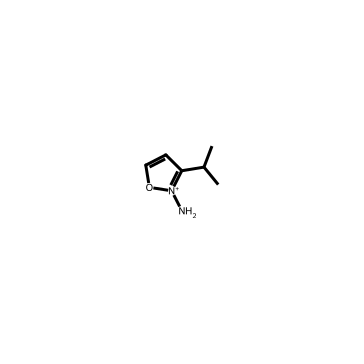 CC(C)c1cco[n+]1N